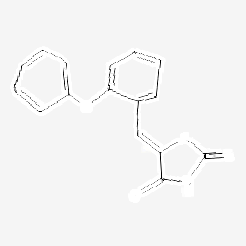 O=C1NC(=S)S/C1=C\c1ccccc1Oc1ccccc1